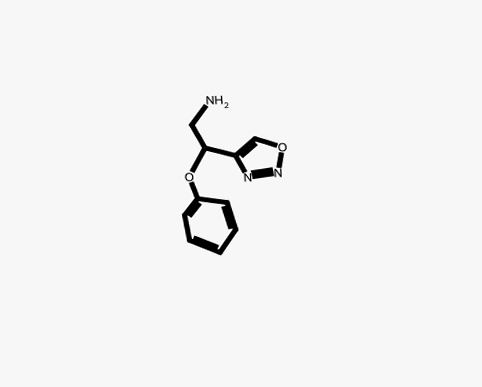 NCC(Oc1ccccc1)c1conn1